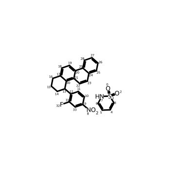 O=S1(=O)C=CC=CN1.O=[N+]([O-])c1ccc(C2CCCc3ccc4c(ccc5ccccc54)c32)c(F)c1